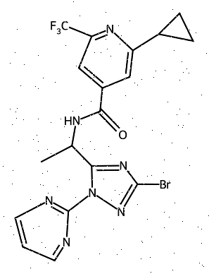 CC(NC(=O)c1cc(C2CC2)nc(C(F)(F)F)c1)c1nc(Br)nn1-c1ncccn1